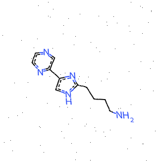 NCCCCc1nc(-c2cnccn2)c[nH]1